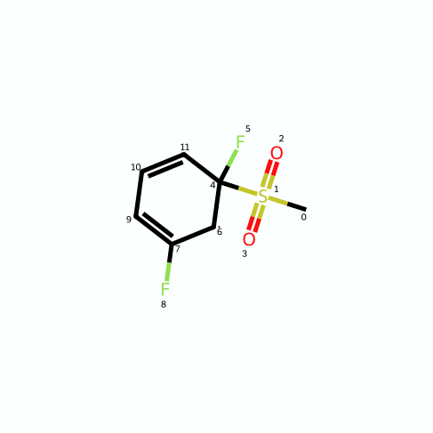 CS(=O)(=O)C1(F)[CH]C(F)=CC=C1